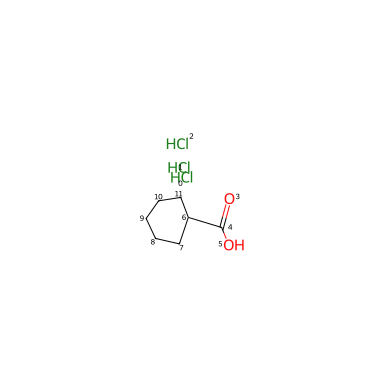 Cl.Cl.Cl.O=C(O)C1CCCCC1